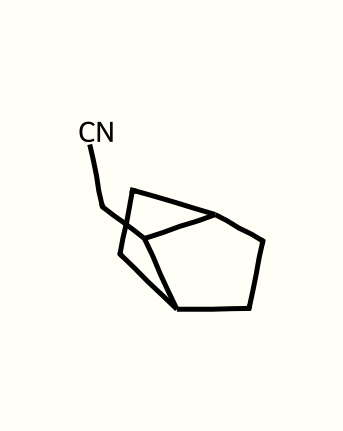 N#CCC1C2CCC1CC2